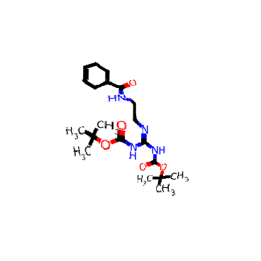 CC(C)(C)OC(=O)NC(=NCCNC(=O)C1CC=CCC1)NC(=O)OC(C)(C)C